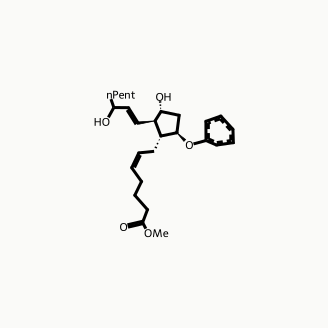 CCCCCC(O)/C=C/[C@@H]1[C@@H](C/C=C\CCCC(=O)OC)[C@H](Oc2ccccc2)C[C@H]1O